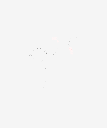 CCCCCCCCCCCCc1ccccc1CC(O)C(=O)OC